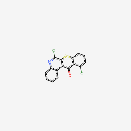 O=c1c2c(Cl)cccc2sc2c(Cl)nc3ccccc3c12